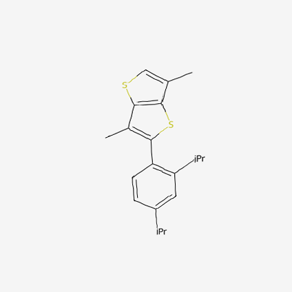 Cc1csc2c(C)c(-c3ccc(C(C)C)cc3C(C)C)sc12